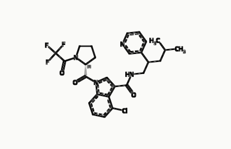 CC(C)CC(CNC(=O)c1cn(C(=O)[C@H]2CCCN2C(=O)C(F)(F)F)c2cccc(Cl)c12)c1cccnc1